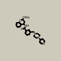 COC(=O)CC(NC(=O)c1cccc(CN2CCN(c3ccncc3)CC2)c1)c1ccccc1